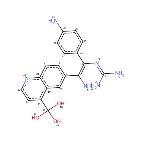 NC(N)=N/C(=C(\N)c1ccc2nccc(C(O)(O)O)c2c1)c1ccc(N)cc1